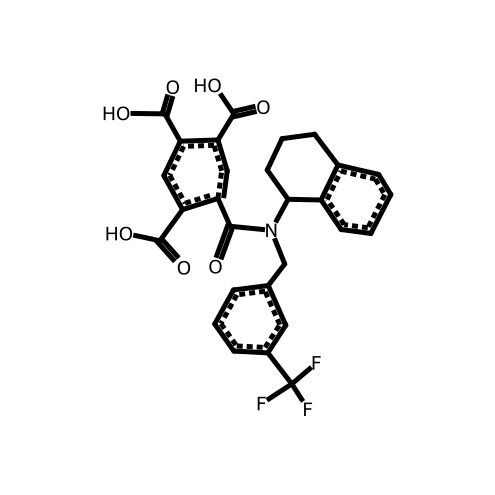 O=C(O)c1cc(C(=O)O)c(C(=O)N(Cc2cccc(C(F)(F)F)c2)C2CCCc3ccccc32)cc1C(=O)O